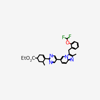 CCOC(=O)C1CC=C(c2ncc(-c3ccc4nc(C)c(Cc5ccccc5OC(F)F)n4c3)cn2)C(C)C1